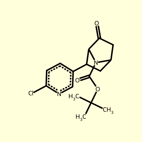 CC(C)(C)OC(=O)N1C2CC(=O)C1C(c1ccc(Cl)nc1)C2